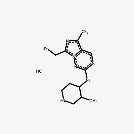 CC(=O)OC1CNCCC1Nc1ncc2c(C(F)(F)F)nc(CC(C)C)n2n1.Cl